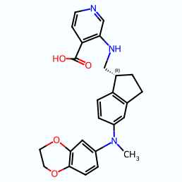 CN(c1ccc2c(c1)CC[C@H]2CNc1cnccc1C(=O)O)c1ccc2c(c1)OCCO2